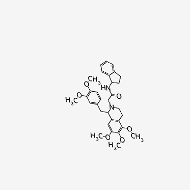 COc1ccc(CC2c3cc(OC)c(OC)c(OC)c3CCN2CC(=O)NC2CCc3ccccc32)cc1OC